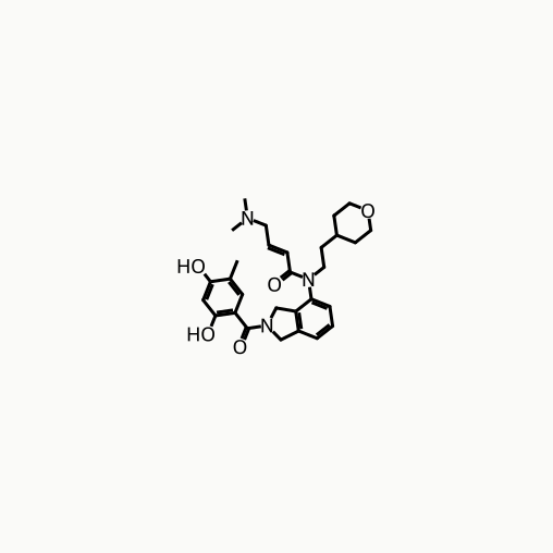 Cc1cc(C(=O)N2Cc3cccc(N(CCC4CCOCC4)C(=O)/C=C/CN(C)C)c3C2)c(O)cc1O